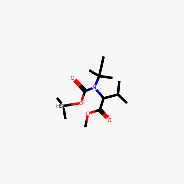 COC(=O)C(C(C)C)N(C(=O)O[SiH](C)C)C(C)(C)C